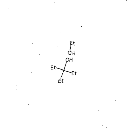 CCC(O)(CC)CC.CCO